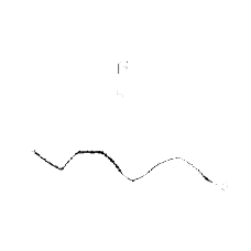 NCCC[CH2][Sn+3].[Br-].[Br-].[Br-]